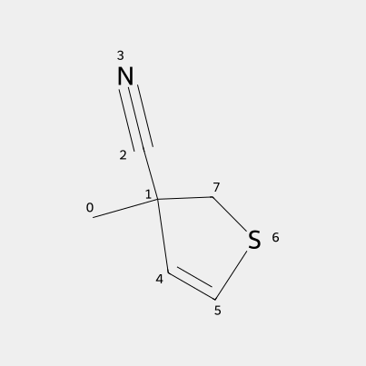 CC1(C#N)C=CSC1